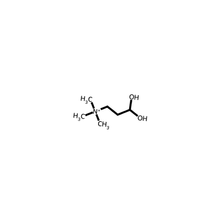 C[N+](C)(C)CCC(O)O